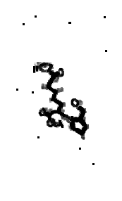 O=Cc1cccn1C(CCCCC(=O)O)C(=O)O